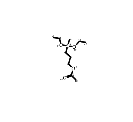 CCO[Si](C)(CCCOC(C)=O)OCC